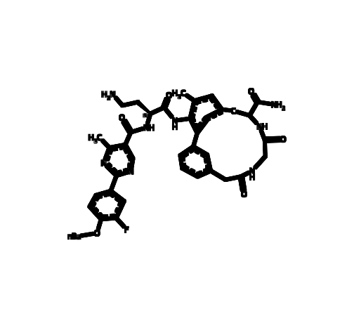 CCCCOc1ccc(-c2ncc(C(=O)N[C@@H](CCN)C(=O)Nc3c(C)cc4cc3-c3cccc(c3)CC(=O)NCC(=O)NC(C(N)=O)C4)c(C)n2)cc1F